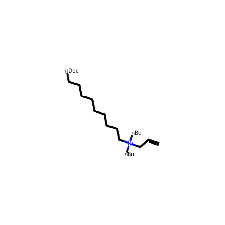 C=CC[N+](CCCC)(CCCC)CCCCCCCCCCCCCCCCCCC